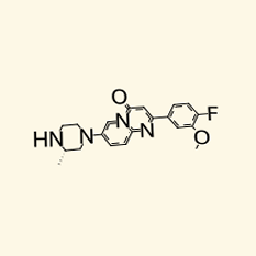 COc1cc(-c2cc(=O)n3cc(N4CCN[C@@H](C)C4)ccc3n2)ccc1F